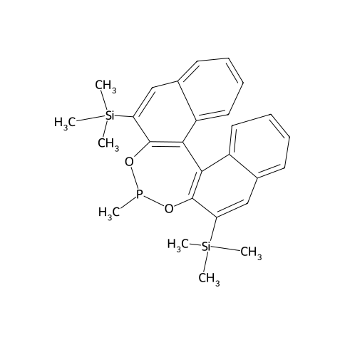 Cp1oc2c([Si](C)(C)C)cc3ccccc3c2c2c(o1)c([Si](C)(C)C)cc1ccccc12